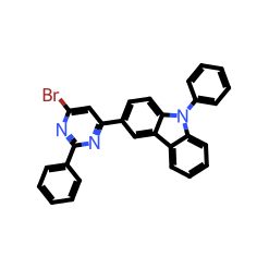 Brc1cc(-c2ccc3c(c2)c2ccccc2n3-c2ccccc2)nc(-c2ccccc2)n1